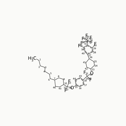 CCCCCCCC1CCC(C(F)(F)Oc2ccc(C(F)(F)OC3CCC(c4cc(F)c(S(F)(F)(F)(F)F)c(F)c4)CC3)cc2)CC1